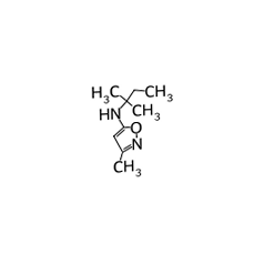 CCC(C)(C)Nc1cc(C)no1